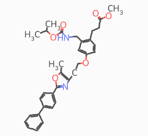 COC(=O)CCc1ccc(OCCc2nc(-c3ccc(-c4ccccc4)cc3)oc2C)cc1CNC(=O)OC(C)C